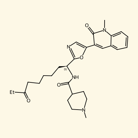 CCC(=O)CCCCC[C@H](NC(=O)C1CCN(C)CC1)c1ncc(-c2cc3ccccc3n(C)c2=O)o1